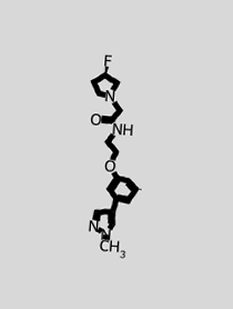 Cn1cc(-c2c[c]cc(OCCNC(=O)CN3CC[C@@H](F)C3)c2)cn1